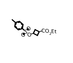 CCOC(=O)[C@H]1C[C@@H](OS(=O)(=O)c2ccc(C)cc2)C1